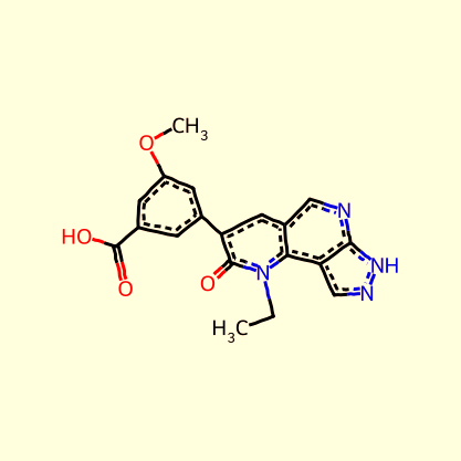 CCn1c(=O)c(-c2cc(OC)cc(C(=O)O)c2)cc2cnc3[nH]ncc3c21